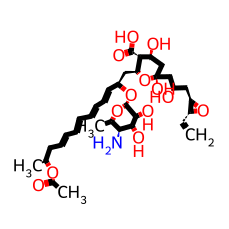 C=C[C@H]1O[C@@H]1C[C@H](O)C[C@]1(O)C[C@H](O)[C@@H](C(=O)O)[C@H](C[C@H](/C=C/C=C/C=C/C=C/C[C@@H](C)OC(C)=O)O[C@@H]2OC(C)[C@@H](N)C(O)C2O)O1